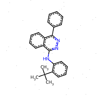 CC(C)(C)c1ccccc1Nc1nnc(-c2ccccc2)c2ccccc12